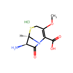 COC1=C(C(=O)O)N2C(=O)[C@@H](N)[C@H]2SC1.Cl